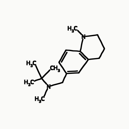 CN1CCCc2cc(CN(C)C(C)(C)C)ccc21